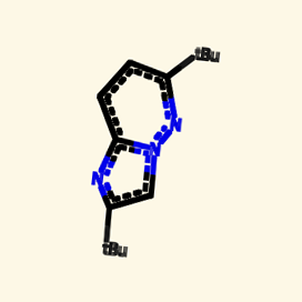 CC(C)(C)c1cn2nc(C(C)(C)C)ccc2n1